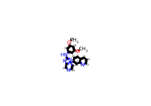 COc1cc(NC2=N[N+]3(c4ccc5cccnc5c4)C=CN=CC3=N2)cc(OC)c1